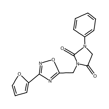 O=C1CN(c2ccccc2)C(=O)N1Cc1nc(-c2ccco2)no1